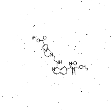 CC(C)OC(=O)c1cc2n(c1)CCN(CCNc1nccc3ccc(C4=NOC(C)N4)cc13)C2